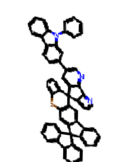 c1ccc(-n2c3ccccc3c3ccc(-c4cnc5c(c4)C4(c6ccccc6Sc6cc7c(cc64)-c4ccccc4C74c6ccccc6-c6ccccc64)c4cccnc4-5)cc32)cc1